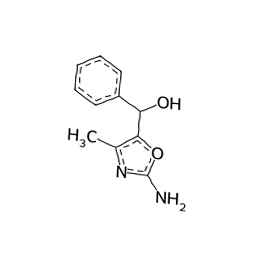 Cc1nc(N)oc1C(O)c1ccccc1